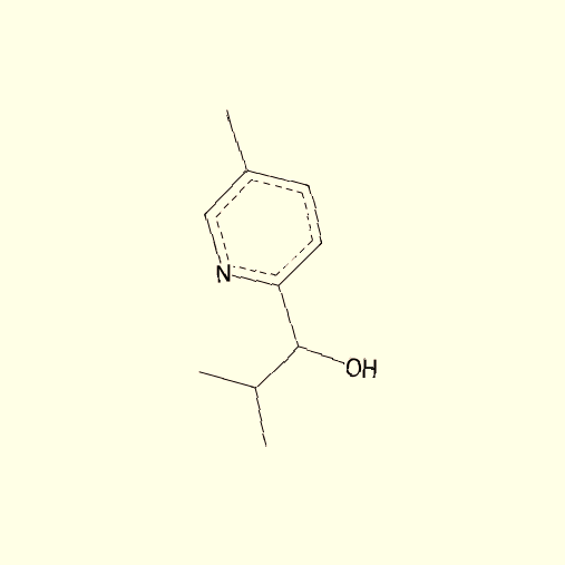 Cc1ccc(C(O)C(C)C)nc1